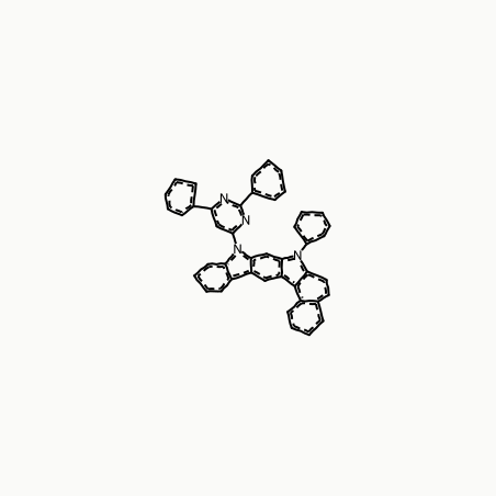 c1ccc(-c2cc(-n3c4ccccc4c4cc5c6c7ccccc7ccc6n(-c6ccccc6)c5cc43)nc(-c3ccccc3)n2)cc1